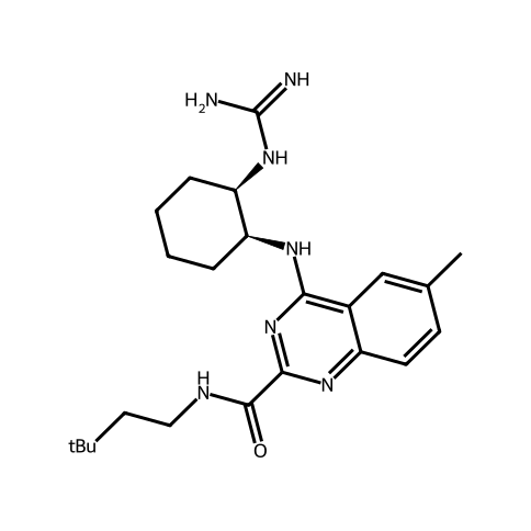 Cc1ccc2nc(C(=O)NCCC(C)(C)C)nc(N[C@H]3CCCC[C@H]3NC(=N)N)c2c1